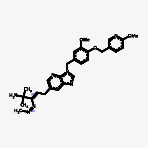 C/N=N\C(=C/Cc1cnc2c(c1)ncn2Cc1ccc(OCc2ccc(OC)nc2)c(OC)c1)C(C)(C)N